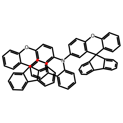 c1ccc(-c2ccccc2N(c2ccc3c(c2)C2(c4ccccc4O3)c3ccccc3-c3ccccc32)c2ccc3c(c2)C2(c4ccccc4O3)c3ccccc3-c3ccccc32)cc1